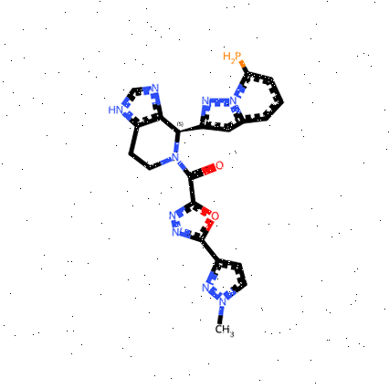 Cn1ccc(-c2nnc(C(=O)N3CCc4[nH]cnc4[C@H]3c3cc4cccc(P)n4n3)o2)n1